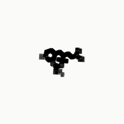 CCN(CC)CCC(CC1CCNCC1)C(C)(C)OC(N)=O